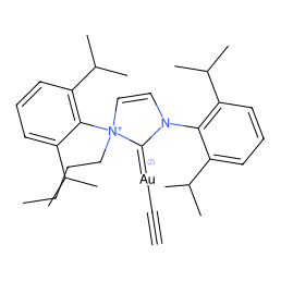 C#[C]/[Au]=[C]1/N(c2c(C(C)C)cccc2C(C)C)C=C[N+]1(CCCC)c1c(C(C)C)cccc1C(C)C